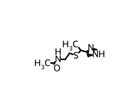 CC(=O)NCCSC(C)c1c[nH]cn1